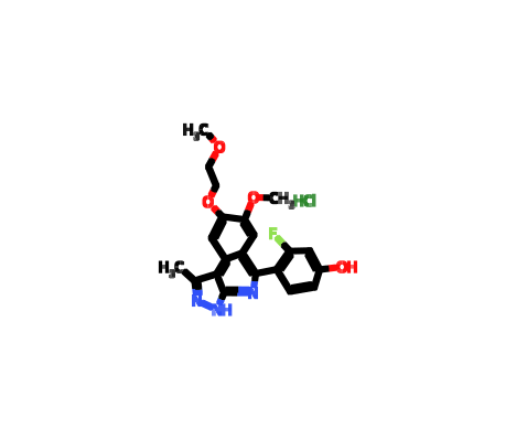 COCCOc1cc2c(cc1OC)c(-c1ccc(O)cc1F)nc1[nH]nc(C)c12.Cl